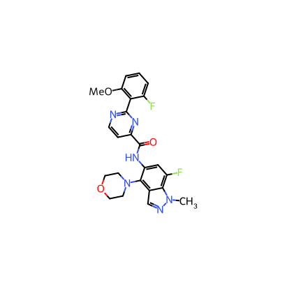 COc1cccc(F)c1-c1nccc(C(=O)Nc2cc(F)c3c(cnn3C)c2N2CCOCC2)n1